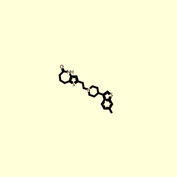 Cc1ccc2c(C3CCN(CCc4cc5c(s4)CCCC(=O)N5)CC3)csc2c1